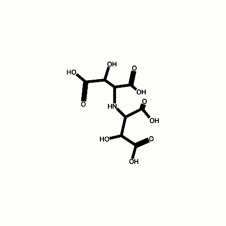 O=C(O)C(O)C(NC(C(=O)O)C(O)C(=O)O)C(=O)O